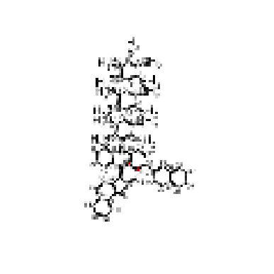 Bc1c(B)c(B)c(-c2c(B)c(B)c(-c3c(B)c(B)c(N(c4ccc(-c5ccc6ccccc6c5)cc4)c4ccccc4-c4cccc5oc6c7ccccc7ccc6c45)c(B)c3B)c(B)c2B)c(B)c1B